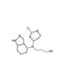 OCCCN(c1ccnc(Cl)n1)c1cccc2[nH]ncc12